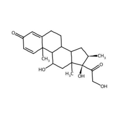 C[C@@H]1CC2C3CCC4=CC(=O)C=CC4(C)C3C(O)CC2(C)[C@@]1(O)C(=O)CO